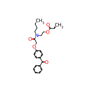 C=CC(=O)OCCN(CCCC)C(=O)COc1ccc(C(=O)c2ccccc2)cc1